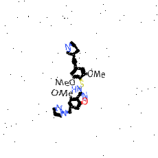 COc1cc(C#Cc2cccnc2)cc(OC)c1SNc1noc2cc(Cn3cccn3)cc(OC)c12